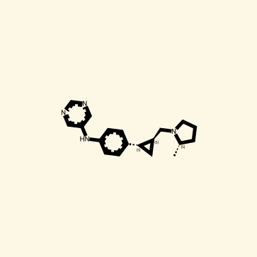 C[C@H]1CCCN1C[C@H]1C[C@@H]1c1ccc(Nc2cncnc2)cc1